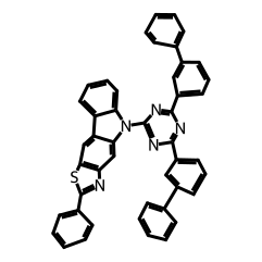 c1ccc(-c2cccc(-c3nc(-c4cccc(-c5ccccc5)c4)nc(-n4c5ccccc5c5cc6sc(-c7ccccc7)nc6cc54)n3)c2)cc1